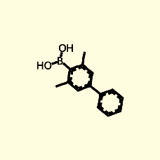 Cc1cc(-c2ccccc2)cc(C)c1B(O)O